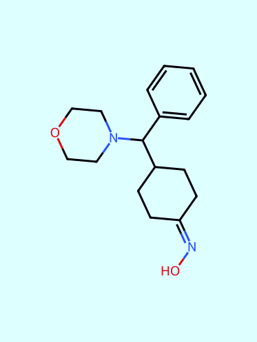 ON=C1CCC(C(c2ccccc2)N2CCOCC2)CC1